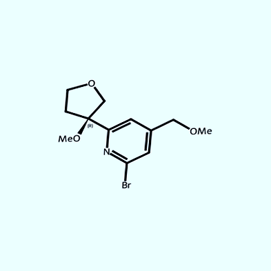 COCc1cc(Br)nc([C@]2(OC)CCOC2)c1